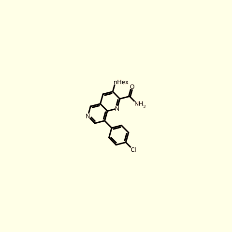 CCCCCCc1cc2cncc(-c3ccc(Cl)cc3)c2nc1C(N)=O